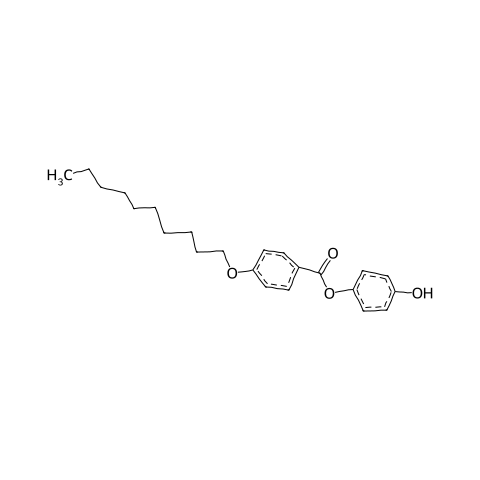 CCCCCCCCCCOc1ccc(C(=O)Oc2ccc(O)cc2)cc1